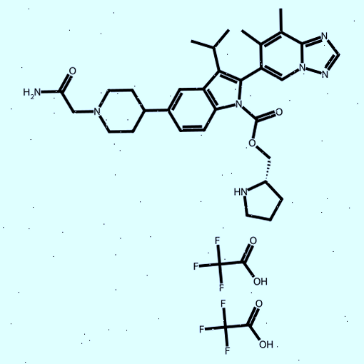 Cc1c(-c2c(C(C)C)c3cc(C4CCN(CC(N)=O)CC4)ccc3n2C(=O)OC[C@@H]2CCCN2)cn2ncnc2c1C.O=C(O)C(F)(F)F.O=C(O)C(F)(F)F